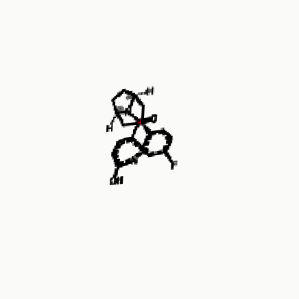 O=C(c1ccc(O)nc1)N1[C@@H]2CC[C@H]1C[C@@H](c1ccc(F)cc1)C2